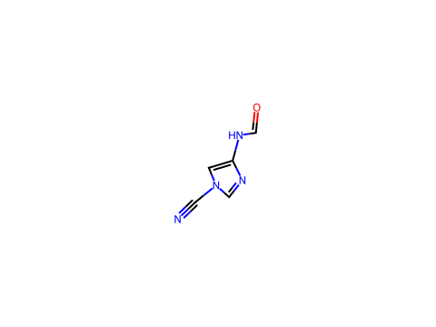 N#Cn1cnc(NC=O)c1